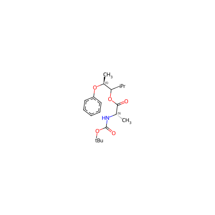 CC(C)C(OC(=O)[C@H](C)NC(=O)OC(C)(C)C)[C@H](C)Oc1ccccc1